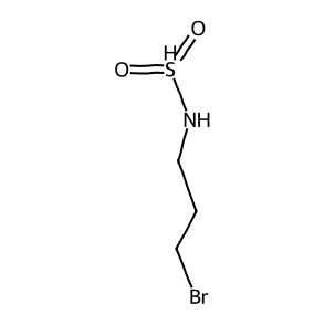 O=[SH](=O)NCCCBr